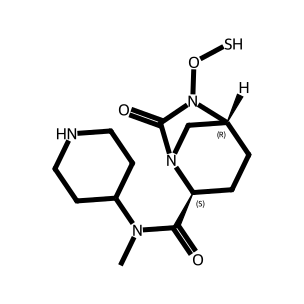 CN(C(=O)[C@@H]1CC[C@@H]2CN1C(=O)N2OS)C1CCNCC1